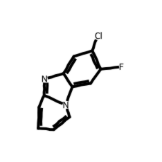 Fc1cc2c(cc1Cl)nc1ccccn12